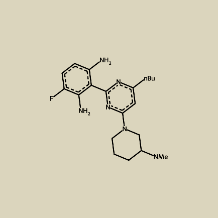 CCCCc1cc(N2CCCC(NC)C2)nc(-c2c(N)ccc(F)c2N)n1